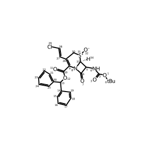 CC(C)(C)OC(=O)NC1C(=O)N2C(C(=O)OC(c3ccccc3)c3ccccc3)=C(/C=C/Cl)C[S+]([O-])[C@@H]12